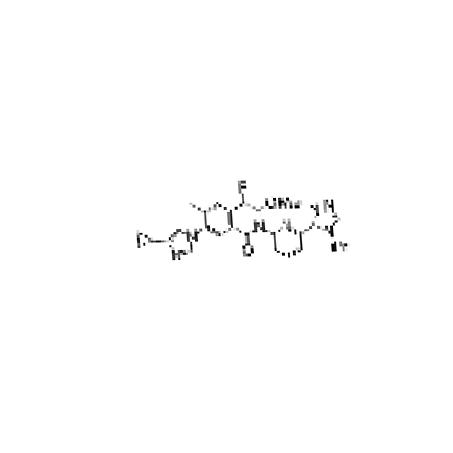 COC1C(F)c2cc(C)c(-n3cnc(C4CC4)c3)cc2C(=O)N1c1cccc(-c2nncn2C(C)C)n1